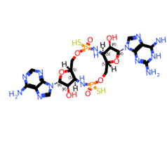 NC1=Nc2c(ncn2[C@@H]2O[C@@H]3COP(=O)(S)N[C@H]4[C@@H](O)[C@H](n5cnc6c(N)ncnc65)O[C@@H]4COP(=O)(S)N[C@H]3[C@H]2O)C(N)N1